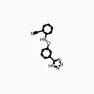 N#Cc1ccccc1NOc1cccc(-c2nnn[nH]2)c1